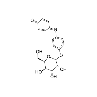 O=C1C=CC(=Nc2ccc(OC3O[C@H](CO)[C@H](O)[C@H](O)[C@H]3O)cc2)C=C1